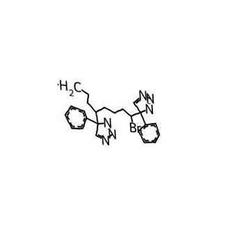 [CH2]CCC(CCCC(Br)C1(c2ccccc2)C=NN=N1)C1(c2ccccc2)C=NN=N1